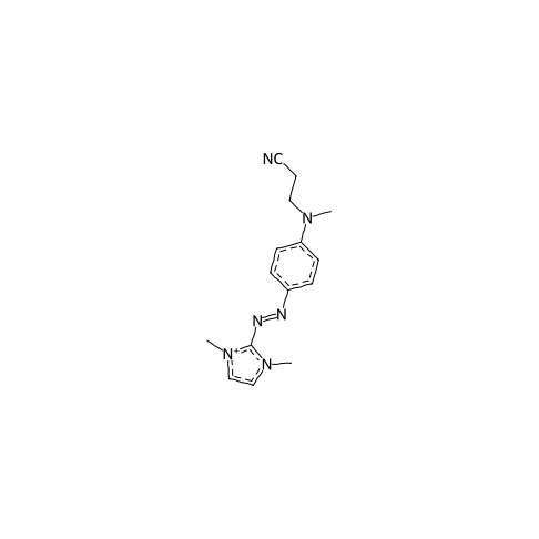 CN(CCC#N)c1ccc(N=Nc2n(C)cc[n+]2C)cc1